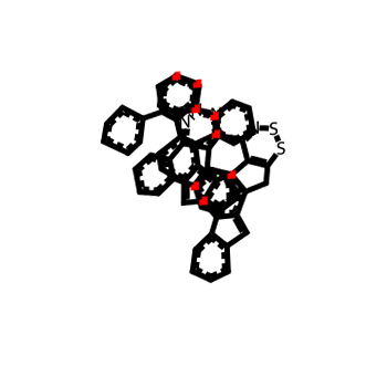 C1=c2c3c(c4c(c2-c2ccccc21)C=c1ccc(-c2ccccc2-c2ccccc2)c(-c2ccccc2-c2ccccc2)c1=4)C1=C(C3)SSN=C1c1nnnc(-c2ccccc2-c2ccccc2)c1-c1ccccc1